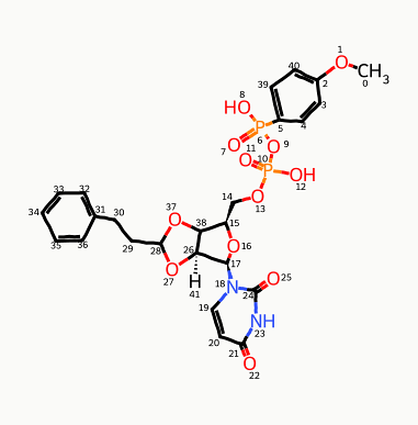 COc1ccc(P(=O)(O)OP(=O)(O)OC[C@H]2O[C@@H](n3ccc(=O)[nH]c3=O)[C@H]3OC(CCc4ccccc4)OC23)cc1